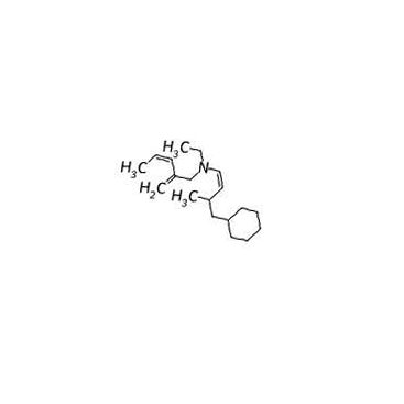 C=C(/C=C\C)CN(/C=C\C(C)CC1CCCCC1)CC